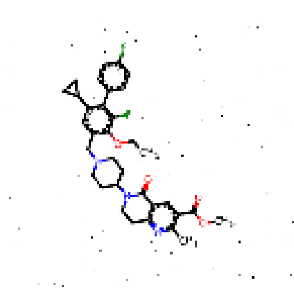 CCOc1c(CN2CCC(N3CCc4nc(C)c(C(=O)OC)cc4C3=O)CC2)cc(C2CC2)c(-c2ccc(F)cc2)c1F